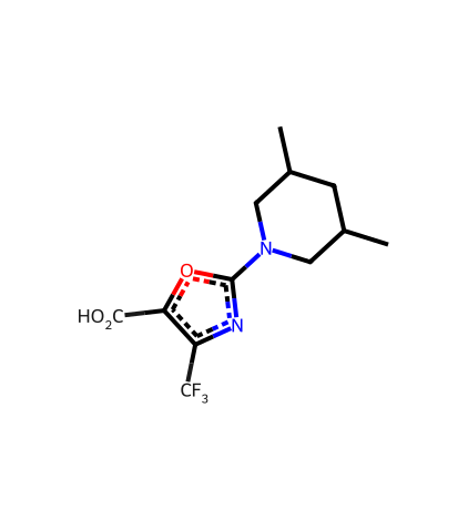 CC1CC(C)CN(c2nc(C(F)(F)F)c(C(=O)O)o2)C1